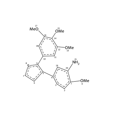 COc1ccc(-c2ccsc2-c2cc(OC)c(OC)c(OC)c2)cc1N